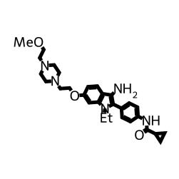 CCn1c(-c2ccc(NC(=O)C3CC3)cc2)c(N)c2ccc(OCCN3CCN(CCOC)CC3)cc21